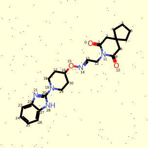 O=C1CC2(CCCC2)CC(=O)N1C/C=N/OC1CCN(c2nc3ccccc3[nH]2)CC1